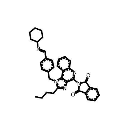 CCCCc1nc2c(N3C(=O)c4ccccc4C3=O)nc3ccccc3c2n1Cc1ccc(C=NC2CCCCC2)cc1